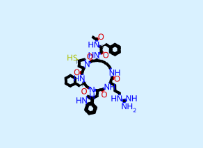 CC(=O)N[C@@H](Cc1ccccc1)C(=O)N[C@H]1CCCNC(=O)C(CCCNC(=N)N)NC(=O)C(Cc2c[nH]c3ccccc23)NC(=O)[C@@H](CC2CCCCC2)NC(=O)C2C[C@H](S)CN2C1=O